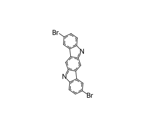 Brc1ccc2c(c1)-c1cc3c(cc1=N2)-c1cc(Br)ccc1N=3